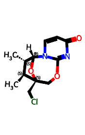 C[C@@H]1[C@H]2O[C@](CCl)(COc3nc(=O)ccn32)[C@H]1C